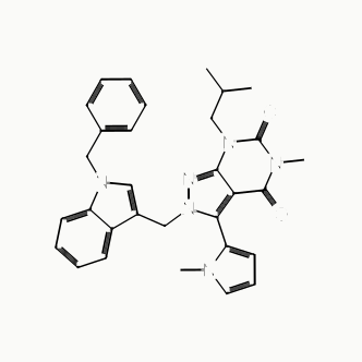 CC(C)Cn1c(=O)n(C)c(=O)c2c(-c3cccn3C)n(Cc3cn(Cc4ccccc4)c4ccccc34)nc21